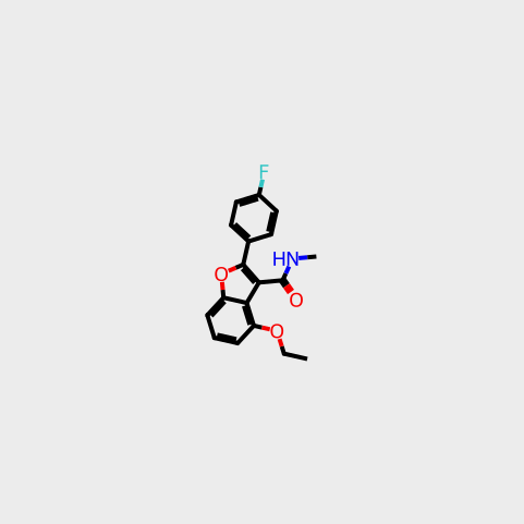 CCOc1cccc2oc(-c3ccc(F)cc3)c(C(=O)NC)c12